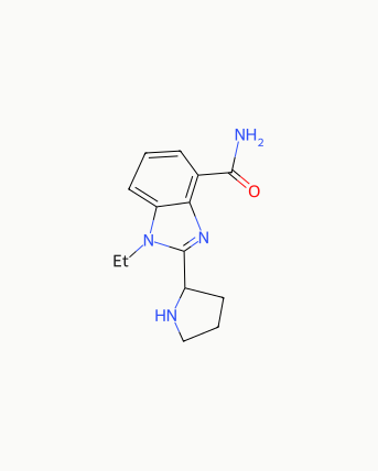 CCn1c(C2CCCN2)nc2c(C(N)=O)cccc21